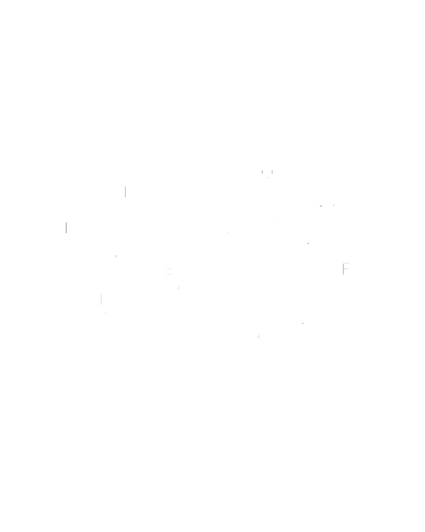 CCC(C)(C)CC(F)(C(=O)OCC(F)(F)C(F)F)C(C)(C)C